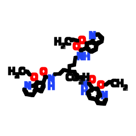 C=CCOc1c(C(=O)NCCCC(CCCNC(=O)c2ccc3cccnc3c2OCC=C)(CCCNC(=O)c2ccc3cccnc3c2OCC=C)C(=O)O)ccc2cccnc12